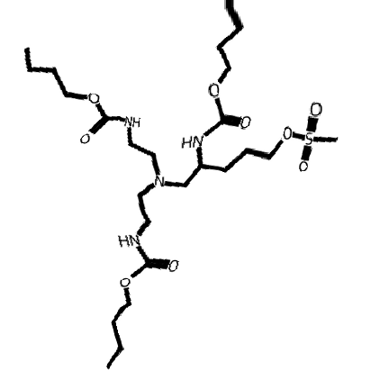 CCCCOC(=O)NCCN(CCNC(=O)OCCCC)CC(CCCOS(C)(=O)=O)NC(=O)OCCCC